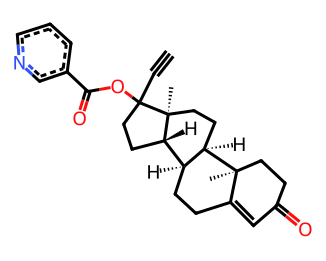 C#CC1(OC(=O)c2cccnc2)CC[C@H]2[C@@H]3CCC4=CC(=O)CC[C@]4(C)[C@@H]3CC[C@@]21C